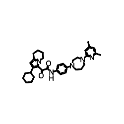 Cc1cc(C)nc(N2CCCN(c3ccc(NC(=O)C(=O)c4c(C5CCCCC5)cc5n4CCCC5)cc3)CC2)c1